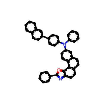 c1ccc(-c2nc3ccc4ccc5cc(N(c6ccccc6)c6ccc(-c7ccc8ccccc8c7)cc6)ccc5c4c3o2)cc1